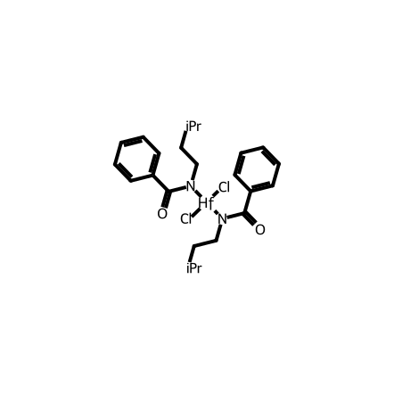 CC(C)CC[N](C(=O)c1ccccc1)[Hf]([Cl])([Cl])[N](CCC(C)C)C(=O)c1ccccc1